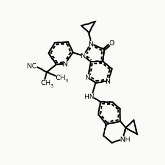 CC(C)(C#N)c1cccc(-n2c3nc(Nc4ccc5c(c4)CCNC54CC4)ncc3c(=O)n2C2CC2)n1